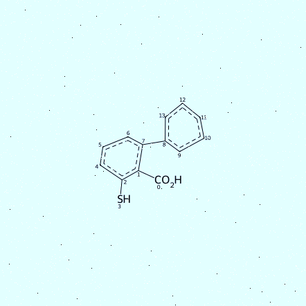 O=C(O)c1c(S)cccc1-c1ccccc1